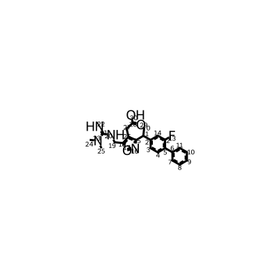 CC(c1ccc(-c2ccccc2)c(F)c1)c1noc(CNC(=N)N(C)C)c1CC(=O)O